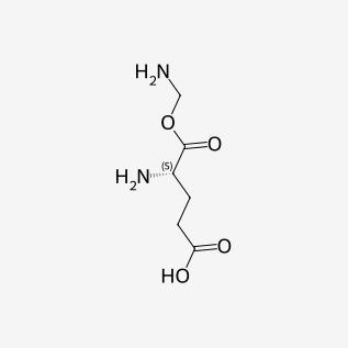 NCOC(=O)[C@@H](N)CCC(=O)O